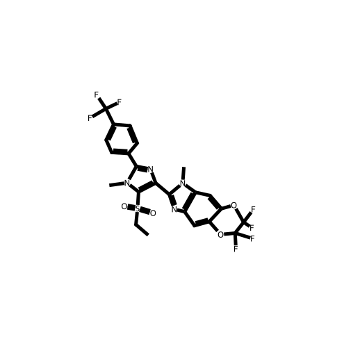 CCS(=O)(=O)c1c(-c2nc3cc4c(cc3n2C)OC(F)(F)C(F)(F)O4)nc(-c2ccc(C(F)(F)F)cc2)n1C